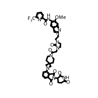 COc1cc2nn(CCN3CCN(CC(=O)N4CCC5(CC4)CN(c4cccc6c4C(=O)N(C4CCC(=O)NC4=O)C6=O)C5)C3=O)cc2cc1NC(=O)c1cccc(C(F)(F)F)n1